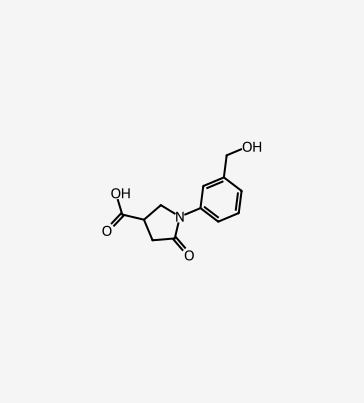 O=C(O)C1CC(=O)N(c2cccc(CO)c2)C1